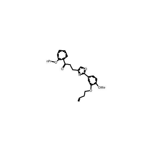 C=CCCOc1cc(-c2nc(CCC(=O)c3ccccc3OCCC)co2)ccc1OC